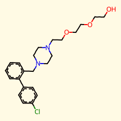 OCCOCCOCCN1CCN(Cc2ccccc2-c2ccc(Cl)cc2)CC1